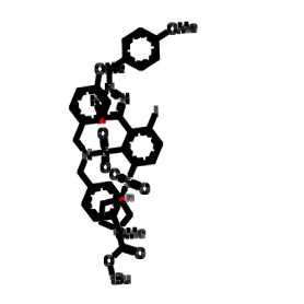 COc1ccc(CN(Cc2ccc(OC)cc2)S(=O)(=O)c2c(S(=O)(=O)[C@@H]3CCN(C(=O)OC(C)(C)C)C3)ccc(I)c2-c2nnn(Cc3ccc(OC)cc3)n2)cc1